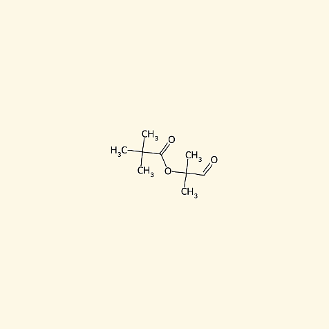 CC(C)(C=O)OC(=O)C(C)(C)C